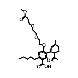 C=C(C)C1CCC(C)=CC1c1c(OCCOCCOCCC(=O)OC)cc(CCCCC)c(C(=O)O)c1O